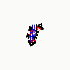 CCC(CC)(CC)C(=O)NC1=N/C(=C(/C)c2[nH]c(NC(=O)C(CC)(CC)CC)c(C(=O)OC3C(C(C)(C)C)CC(C)CC3C(C)(C)C)c2C)C(C)=C1C(=O)OC1C(C(C)(C)C)CC(C)CC1C(C)(C)C